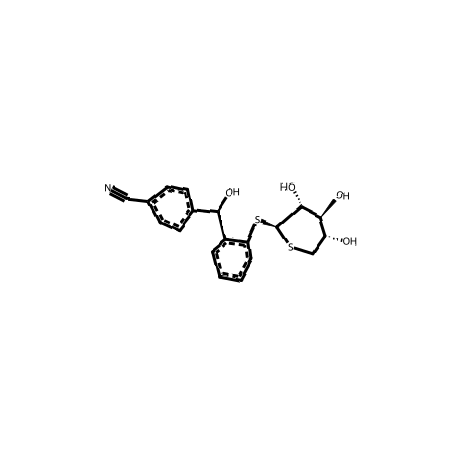 N#Cc1ccc(C(O)c2ccccc2S[C@@H]2SC[C@@H](O)[C@H](O)[C@H]2O)cc1